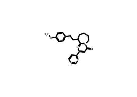 COc1ccc(CCC2CCCCn3c2nc(-c2ccncn2)cc3=O)cc1